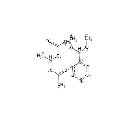 CC(=O)O[SiH](C)OC(C)=O.CO[SiH](OC)c1ccccc1